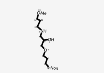 CCCCCCCCCCCCOCC(O)CNCCCOC